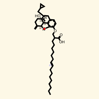 C=C1CC[C@@]2(O)C3Cc4ccc(OCC(CCCCCC/C=C/CCCCCCCC)C(=O)O)c5c4[C@@]2(CCN3CC2CC2)[C@H]1O5